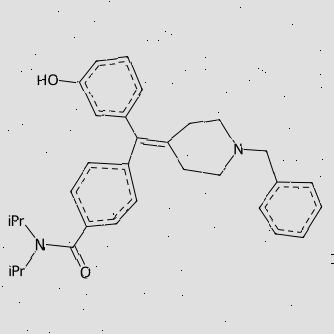 CC(C)N(C(=O)c1ccc(C(=C2CCN(Cc3ccccc3)CC2)c2cccc(O)c2)cc1)C(C)C